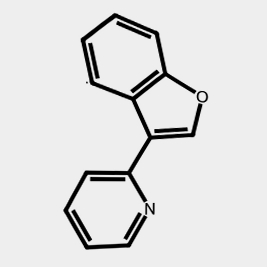 [c]1cccc2occ(-c3ccccn3)c12